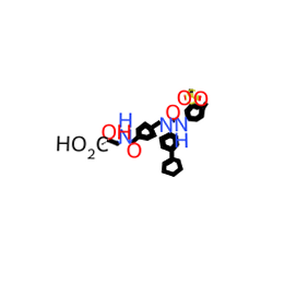 Cc1ccc(NC(=O)N(Cc2ccc(C(=O)NC[C@@H](O)C(=O)O)cc2)c2ccc(C3=CCCCC3)cc2)cc1S(C)(=O)=O